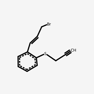 C#CCSc1ccccc1C=CCBr